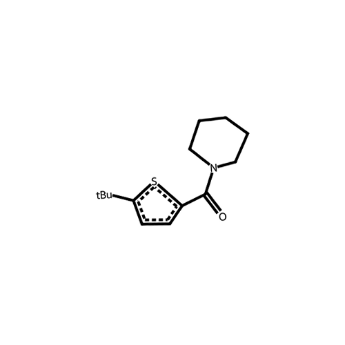 CC(C)(C)c1ccc(C(=O)N2CCCCC2)s1